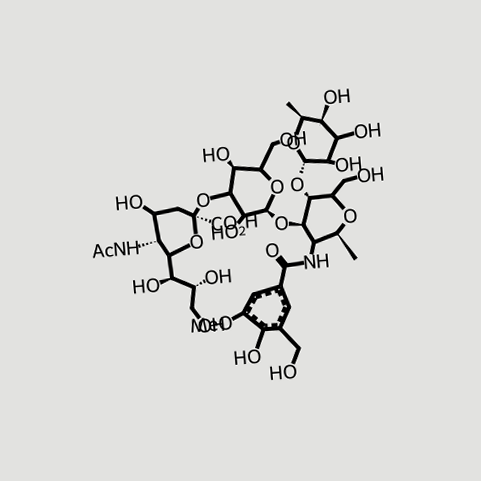 COc1cc(C(=O)NC2[C@H](C)OC(CO)[C@@H](O[C@@H]3O[C@@H](C)[C@@H](O)C(O)C3O)[C@@H]2O[C@@H]2OC(CO)[C@H](O)C(O[C@]3(C(=O)O)CC(O)[C@@H](NC(C)=O)C([C@H](O)[C@H](O)CO)O3)C2O)cc(CO)c1O